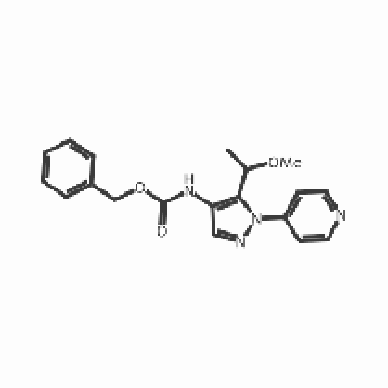 COC(C)c1c(NC(=O)OCc2ccccc2)cnn1-c1ccncc1